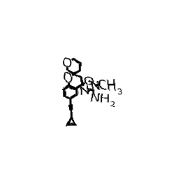 CN1OC2(CC3(CCCOC3)Oc3ccc(C#CC4CC4)cc32)N=C1N